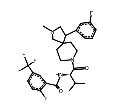 CC(C)[C@@H](NC(=O)c1cc(C(F)(F)F)ccc1F)C(=O)N1CCC2(CC1)CN(C)CC2c1cccc(F)c1